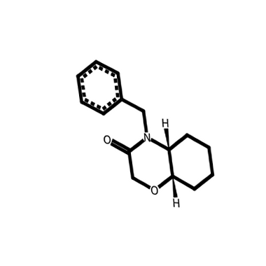 O=C1CO[C@H]2CCCC[C@H]2N1Cc1ccccc1